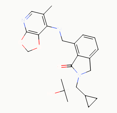 Cc1cnc2c(c1NCc1cccc3c1C(=O)N([C@H](C1CC1)C(C)(C)O)C3)OCO2